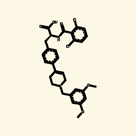 COc1cc(CN2CC=C(c3ccc(C[C@H](NC(=O)c4c(Cl)cccc4Cl)C(=O)O)cc3)CC2)cc(OC)c1